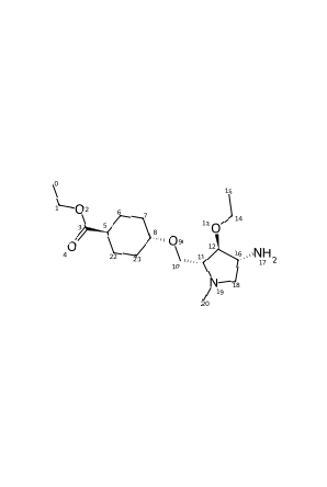 CCOC(=O)[C@H]1CC[C@H](OC[C@@H]2[C@@H](OCC)[C@H](N)CN2C)CC1